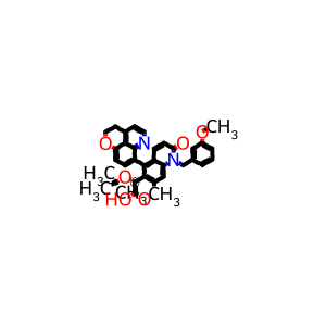 COc1cccc(Cn2c(=O)ccc3c(-c4ccc5c6c(ccnc46)CCO5)c([C@H](OC(C)(C)C)C(=O)O)c(C)cc32)c1